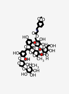 CC1O[C@@H](O[C@@H]2CO[C@@H](Oc3c(O)cc(-c4oc5cc(O)cc(O)c5c(=O)c4O[C@@H]4OC(C)[C@H](O)[C@H](O)C4O[C@@H]4OC(COC(=O)/C=C/c5ccc6c(c5)OCO6)[C@@H](O)[C@@H](O)C4O[C@@H]4OC(CO)[C@@H](O)[C@@H](O)C4O)cc3O)C(O)[C@@H]2O)C(O)[C@@H](O)[C@H]1O